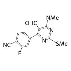 CNc1nc(SC)nc(-c2ccc(C#N)c(F)c2)c1C=O